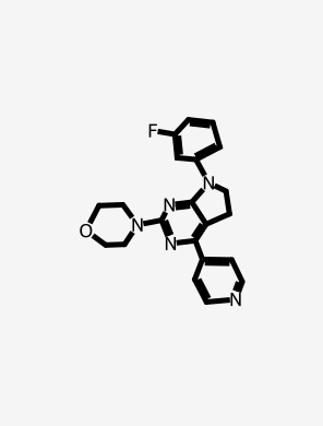 Fc1cccc(N2CCc3c(-c4ccncc4)nc(N4CCOCC4)nc32)c1